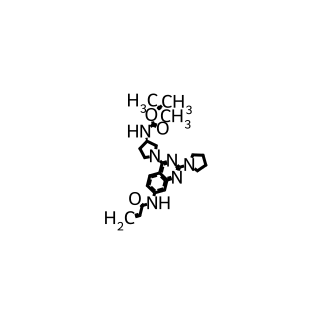 C=CC(=O)Nc1ccc2c(N3CC[C@@H](NC(=O)OC(C)(C)C)C3)nc(N3CCCC3)nc2c1